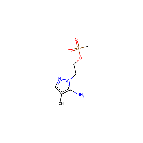 CS(=O)(=O)OCCn1ncc(C#N)c1N